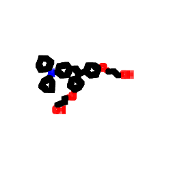 OCCCOc1ccc(C(=Cc2ccc(N(c3ccccc3)c3ccccc3)cc2)c2ccc(OCCCO)cc2)cc1